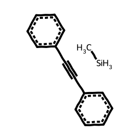 C(#Cc1ccccc1)c1ccccc1.C[SiH3]